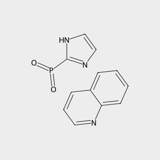 O=P(=O)c1ncc[nH]1.c1ccc2ncccc2c1